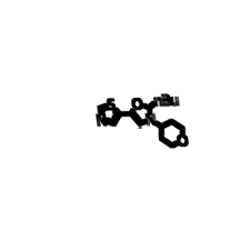 CCCCC1OC(c2cncs2)=[C]N1C1CCOCC1